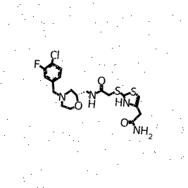 NC(=O)CC1=CSC(SCC(=O)NC[C@H]2CN(Cc3ccc(Cl)c(F)c3)CCO2)N1